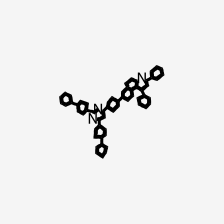 c1ccc(-c2ccc(-c3cc(-c4ccc(-c5ccc6c(ccc7nc(-c8ccccc8)cc(-c8ccccc8)c76)c5)cc4)nc(-c4ccc(-c5ccccc5)cc4)n3)cc2)cc1